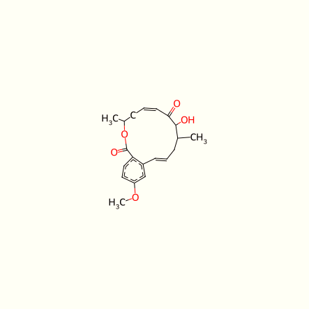 COc1ccc2c(c1)/C=C/CC(C)C(O)C(=O)/C=C\CC(C)OC2=O